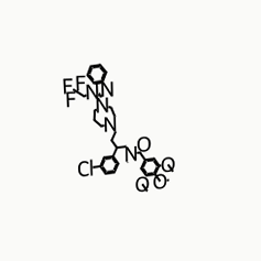 COc1cc(C(=O)N(C)CC(CCN2CCCN(c3nc4ccccc4n3CC(F)(F)F)CC2)c2cccc(Cl)c2)cc(OC)c1OC